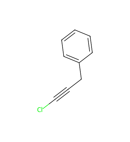 ClC#CCc1ccccc1